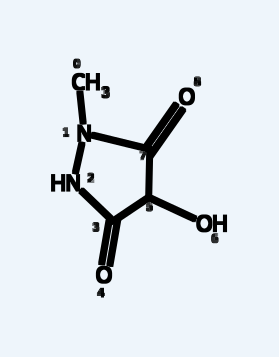 CN1NC(=O)C(O)C1=O